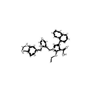 CCSc1c(C(=O)O)c(-c2cccc3ccccc23)cn1Cc1cncn1Cc1ccc2c(c1)OCO2